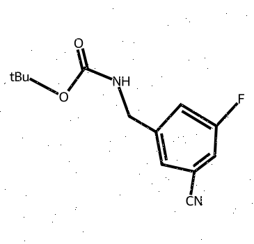 CC(C)(C)OC(=O)NCc1cc(F)cc(C#N)c1